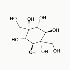 OC[C@@]1(O)[C@H](O)[C@@H](O)[C@@](O)(CO)[C@@H](O)[C@@H]1O